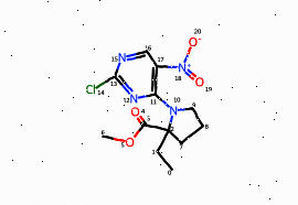 CCC1(C(=O)OC)CCCN1c1nc(Cl)ncc1[N+](=O)[O-]